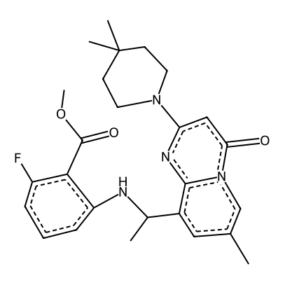 COC(=O)c1c(F)cccc1NC(C)c1cc(C)cn2c(=O)cc(N3CCC(C)(C)CC3)nc12